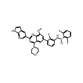 COc1cc(-c2cccc(N[S+]([O-])c3c(F)cccc3F)c2F)cc2c(N3CCOCC3)nc(-c3cnc4[nH]ccc4c3)nc12